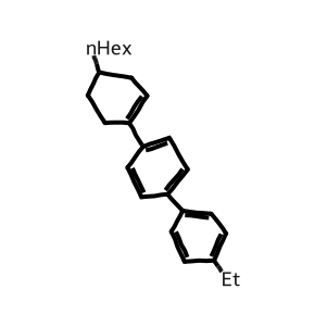 CCCCCCC1CC=C(c2ccc(-c3ccc(CC)cc3)cc2)CC1